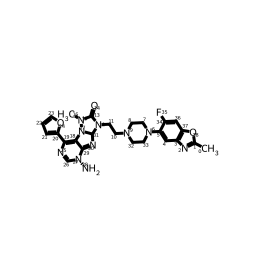 Cc1nc2cc(N3CCN(CCN4C(=O)N(C)N5C6=C(c7ccco7)N=CN(N)C6=NC45)CC3)c(F)cc2o1